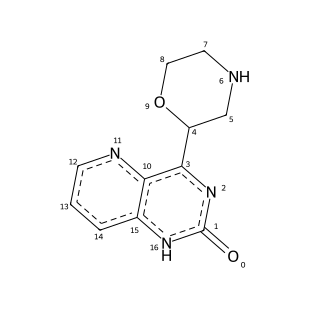 O=c1nc(C2CNCCO2)c2ncccc2[nH]1